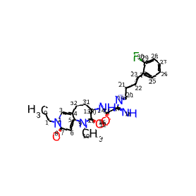 CCn1cc2c(cc1=O)N(C)C(=O)[C@H](NC(=O)C(=N)/N=C/CCCc1ccccc1F)CC2